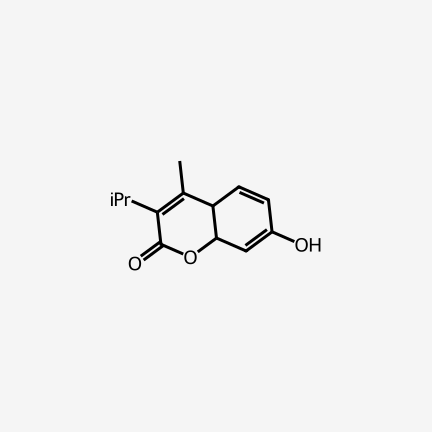 CC1=C(C(C)C)C(=O)OC2C=C(O)C=CC12